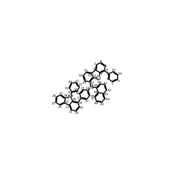 c1ccc(-c2cccc3c2oc2c(N(c4ccc(-c5cccc6c7ccccc7n(-c7ccccc7)c56)cc4)c4cccc5ccccc45)cccc23)cc1